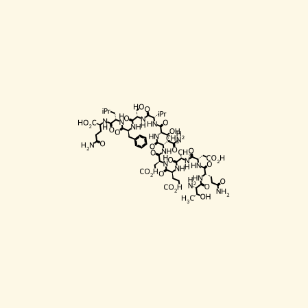 CC(C)C[C@H](NC(=O)[C@H](Cc1ccccc1)NC(=O)[C@H](CO)NC(=O)[C@@H](NC(=O)[C@@H](NC(=O)[C@H](CC(N)=O)NC(=O)[C@H](CC(=O)O)NC(=O)[C@H](CCC(=O)O)NC(=O)[C@H](C)NC(=O)[C@H](CC(=O)O)NC(=O)[C@H](CCC(N)=O)NC(=O)[C@@H](N)[C@@H](C)O)[C@@H](C)O)C(C)C)C(=O)N[C@@H](CCC(N)=O)C(=O)O